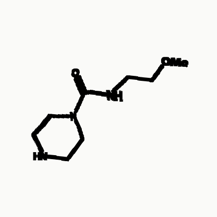 COCCNC(=O)N1CCNCC1